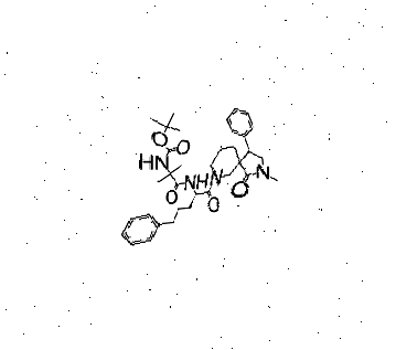 CN1CC(c2ccccc2)C2(CCCN(C(=O)[C@@H](CCCc3ccccc3)NC(=O)C(C)(C)NC(=O)OC(C)(C)C)C2)C1=O